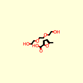 Cc1ccc(C(=O)O)o1.OCCOCCOCCO